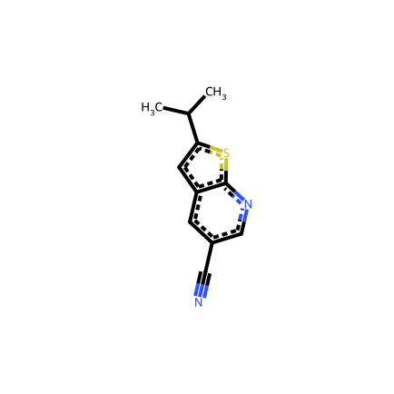 CC(C)c1cc2cc(C#N)cnc2s1